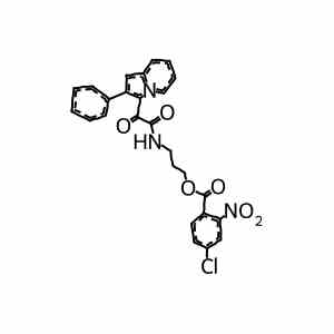 O=C(NCCCOC(=O)c1ccc(Cl)cc1[N+](=O)[O-])C(=O)c1c(-c2ccccc2)cc2ccccn12